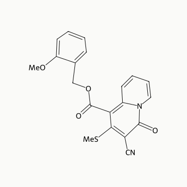 COc1ccccc1COC(=O)c1c(SC)c(C#N)c(=O)n2ccccc12